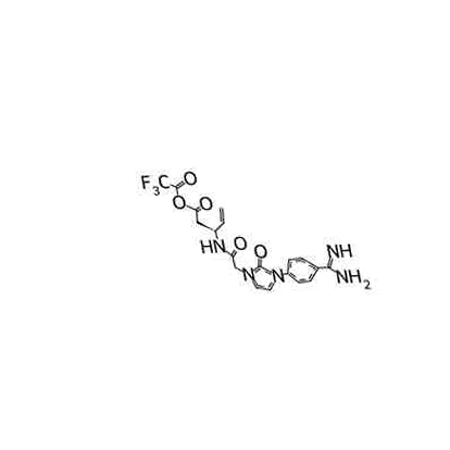 C=C[C@H](CC(=O)OC(=O)C(F)(F)F)NC(=O)Cn1ccn(-c2ccc(C(=N)N)cc2)c1=O